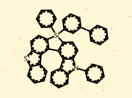 c1ccc(-c2cccc([Si]3(c4ccccc4)c4ccc5sc6ccccc6c5c4-c4c3ccc3c4c4ccccc4n3-c3ccccc3)c2)cc1